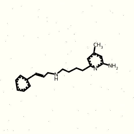 Cc1cc(N)nc(CCCCNC/C=C/c2ccccc2)c1